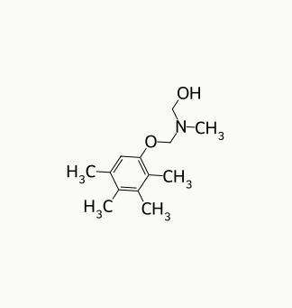 Cc1cc(OCN(C)CO)c(C)c(C)c1C